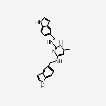 CC1C=C(NCc2ccc3[nH]ccc3c2)N=C(NCc2ccc3[nH]ccc3c2)N1